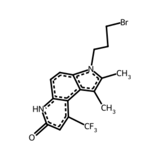 Cc1c(C)n(CCCBr)c2ccc3[nH]c(=O)cc(C(F)(F)F)c3c12